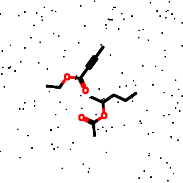 CC#CC(=O)OCC.CCCC(C)OC(C)=O